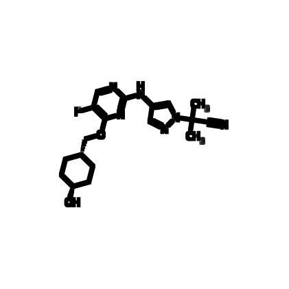 CC(C)(C#N)n1cc(Nc2ncc(F)c(OC[C@H]3CC[C@H](O)CC3)n2)cn1